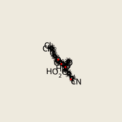 N#Cc1ccc(-c2ccc(C[C@H](NC(=O)C3Cc4cc5c(cc4CN3C(=O)c3ccco3)O[C@@H](c3ccc(OCc4ccc(Cl)c(Cl)c4)cc3)CO5)C(=O)O)cc2)cc1